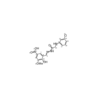 COc1cc([N+](=O)O)cc(/C=N/NC(=O)CNc2cccc(Cl)c2)c1O